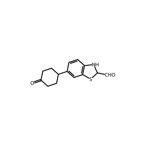 O=CC1Nc2ccc(C3CCC(=O)CC3)cc2S1